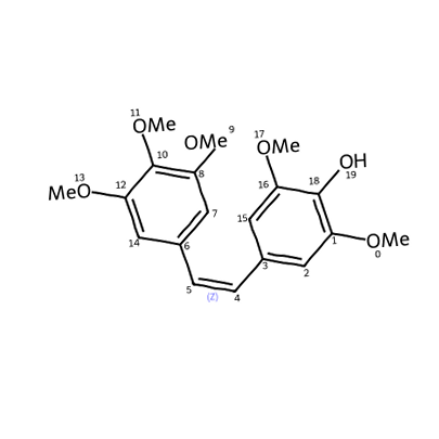 COc1cc(/C=C\c2cc(OC)c(OC)c(OC)c2)cc(OC)c1O